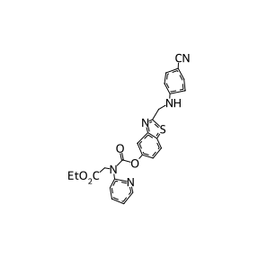 CCOC(=O)CN(C(=O)Oc1ccc2sc(CNc3ccc(C#N)cc3)nc2c1)c1ccccn1